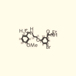 CCNC(=O)c1cc(Br)cc(OCCN[C@H](C)c2cccc(OC)c2)c1